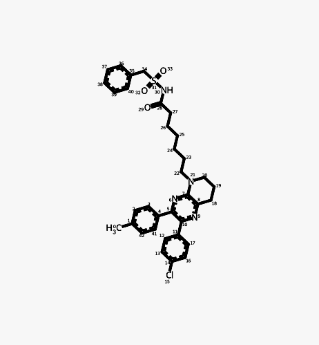 Cc1ccc(-c2nc3c(nc2-c2ccc(Cl)cc2)CCCN3CCCCCCC(=O)NS(=O)(=O)Cc2ccccc2)cc1